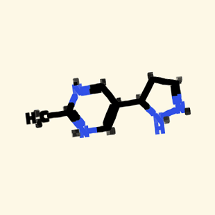 Cc1ncc(C2CC=NN2)cn1